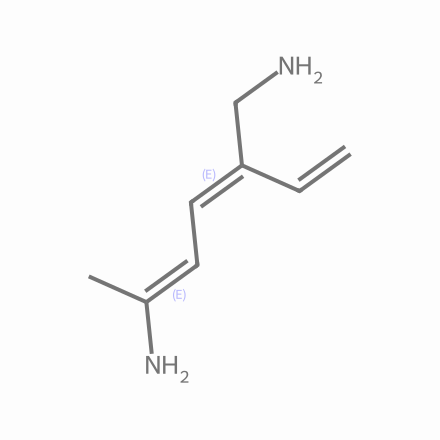 C=C/C(=C\C=C(/C)N)CN